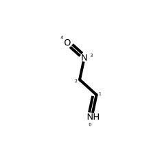 N=CCN=O